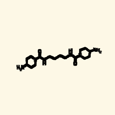 NC1CCN(C(=O)NCCCCNC(=O)N2CCC(N)CC2)CC1